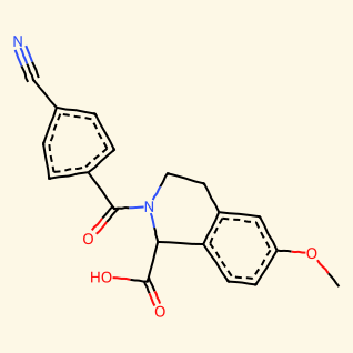 COc1ccc2c(c1)CCN(C(=O)c1ccc(C#N)cc1)C2C(=O)O